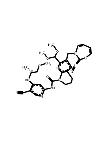 COC[C@@H](C)Nc1cc(NC(=O)N2CCCc3cc(CN4C=CC=COC4=C=O)c(C(OC)OC)nc32)ncc1C#N